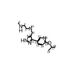 CNCCN(C)Cc1c[nH]nc1-c1ccc(OC(C)C)nc1